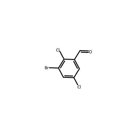 O=Cc1cc(Cl)cc(Br)c1Cl